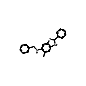 Cc1cc2c(cc1NCc1ccccc1)OC(c1ccccc1)N2